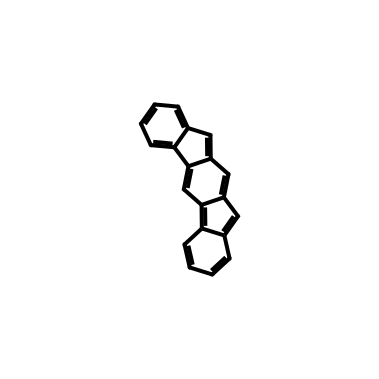 C1=c2cc3c(cc2-c2ccccc21)=c1ccccc1=C3